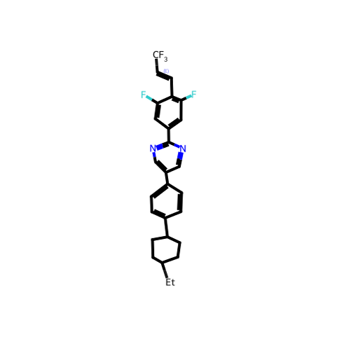 CCC1CCC(c2ccc(-c3cnc(-c4cc(F)c(/C=C/C(F)(F)F)c(F)c4)nc3)cc2)CC1